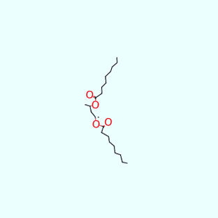 CCCCCCCCC(=O)O[CH]CC(C)OC(=O)CCCCCCCC